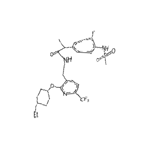 CCC1CCC(Oc2nc(C(F)(F)F)ccc2CNC(=O)C(C)c2ccc(NS(C)(=O)=O)c(F)c2)CC1